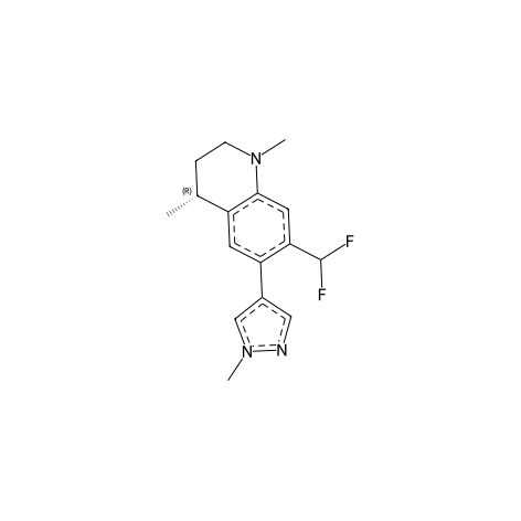 C[C@@H]1CCN(C)c2cc(C(F)F)c(-c3cnn(C)c3)cc21